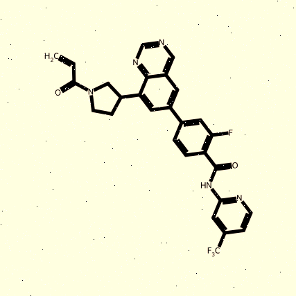 C=CC(=O)N1CCC(c2cc(-c3ccc(C(=O)Nc4cc(C(F)(F)F)ccn4)c(F)c3)cc3cncnc23)C1